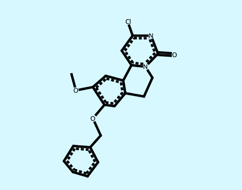 COc1cc2c(cc1OCc1ccccc1)CCn1c-2cc(Cl)nc1=O